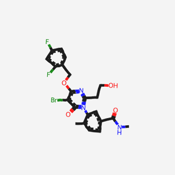 CNC(=O)c1ccc(C)c(-n2c(CCO)nc(OCc3ccc(F)cc3F)c(Br)c2=O)c1